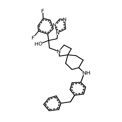 OC(CN1CCC2(CCC(Nc3ccc(Cc4ccccc4)cc3)CC2)C1)(Cn1cncn1)c1ccc(F)cc1F